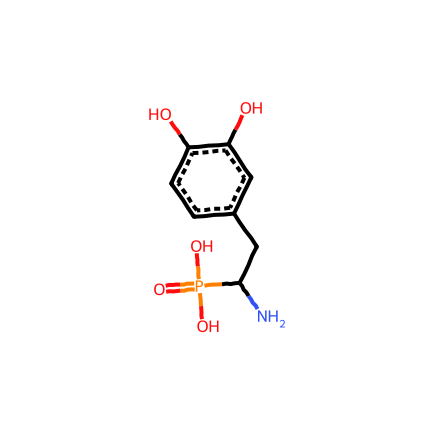 NC(Cc1ccc(O)c(O)c1)P(=O)(O)O